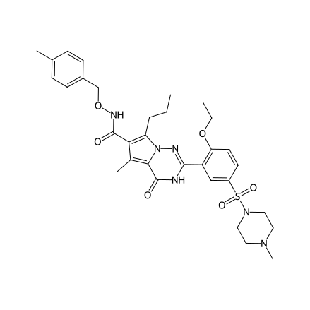 CCCc1c(C(=O)NOCc2ccc(C)cc2)c(C)c2c(=O)[nH]c(-c3cc(S(=O)(=O)N4CCN(C)CC4)ccc3OCC)nn12